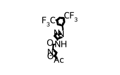 CC(=O)c1cc(C(=O)Nc2cnn(Cc3cc(C(F)(F)F)cc(C(F)(F)F)c3)c2)no1